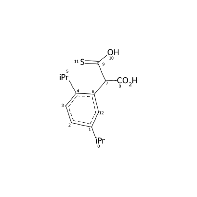 CC(C)c1ccc(C(C)C)c(C(C(=O)O)C(O)=S)c1